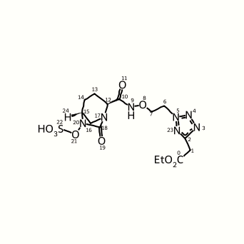 CCOC(=O)Cc1nnn(CCONC(=O)[C@@H]2CC[C@@H]3CN2C(=O)N3OS(=O)(=O)O)n1